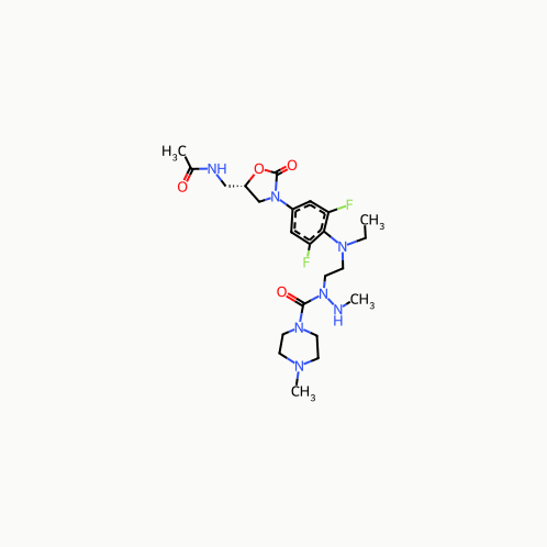 CCN(CCN(NC)C(=O)N1CCN(C)CC1)c1c(F)cc(N2C[C@H](CNC(C)=O)OC2=O)cc1F